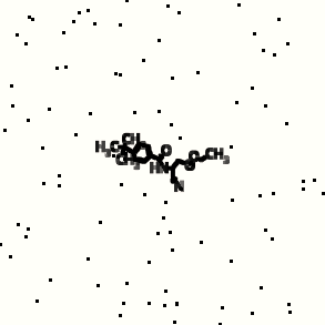 CCOOCC(C#N)NC(=O)c1ccc(C(C)(C)C)cc1